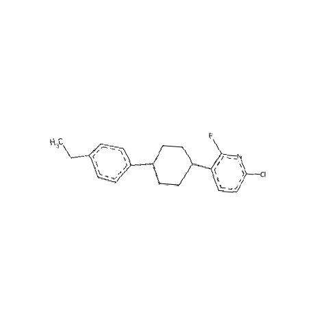 CCc1ccc(C2CCC(c3ccc(Cl)nc3F)CC2)cc1